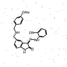 COc1ccc(CNSc2ccc3c(c2)/C(=N/Nc2ccccc2N=O)C(=O)N3)cc1